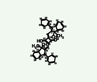 CC1(C)C(/C=C2\C(=O)C(/C=C3/N(c4ccccc4)c4ccccc4C3(C)C)=C2O)=[N+](c2ccccc2)c2ccccc21